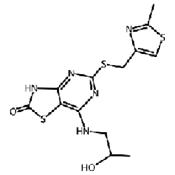 Cc1nc(CSc2nc(NCC(C)O)c3sc(=O)[nH]c3n2)cs1